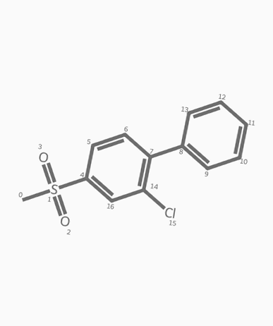 CS(=O)(=O)c1ccc(-c2ccccc2)c(Cl)c1